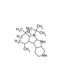 CC(C)C1C2C3CCNCC3NC2N(C(C)(C)C)C1C(C)(C)C